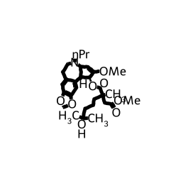 CCCN1CCc2cc3c(cc2[C@H]2C1C=C(OC)[C@H]2OC(=O)C(C)(CCCC(C)(C)O)CC(=O)OC)OCO3